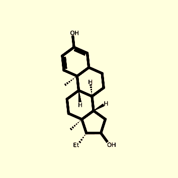 CC[C@H]1C(O)C[C@H]2[C@@H]3CCC4C=C(O)C=C[C@]4(C)[C@H]3CC[C@]12C